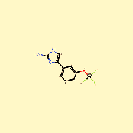 Nc1nc(-c2cccc(OC(F)(F)F)c2)c[nH]1